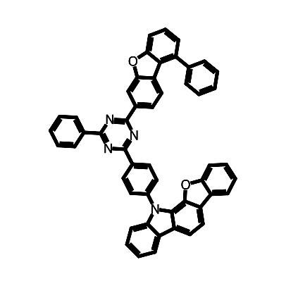 c1ccc(-c2nc(-c3ccc(-n4c5ccccc5c5ccc6c7ccccc7oc6c54)cc3)nc(-c3ccc4c(c3)oc3cccc(-c5ccccc5)c34)n2)cc1